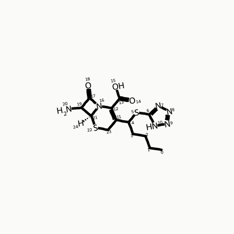 CCCCC(Sc1nnn[nH]1)C1=C(C(=O)O)N2C(=O)C(N)[C@@H]2SC1